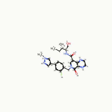 CC[C@H](C)[C@@H](CO)NC(=O)c1cn(Cc2ccc(-c3cnn(C)c3)cc2F)c(=O)c2nccnc12